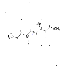 CCCC(Br)/C=C/C(=O)OCC